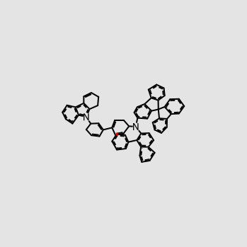 C1=Cc2c(n(C3C=C(C4=CCC(N(c5ccc6c(c5)C5(c7ccccc7-c7ccccc75)c5ccccc5-6)c5ccc6ccccc6c5-c5ccccc5)C=C4)C=CC3)c3ccccc23)CC1